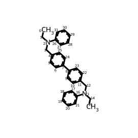 CCN(Cc1ccc(-c2ccc(CN(CC)c3ccccc3)cc2)cc1)c1ccccc1